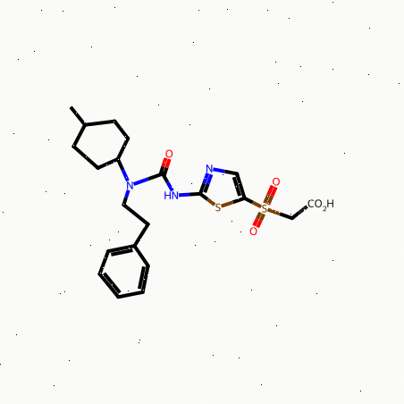 CC1CCC(N(CCc2ccccc2)C(=O)Nc2ncc(S(=O)(=O)CC(=O)O)s2)CC1